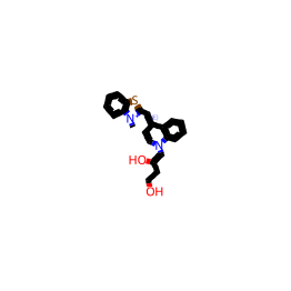 C[n+]1c(/C=C2\C=CN(C=C(O)CCO)c3ccccc32)sc2ccccc21